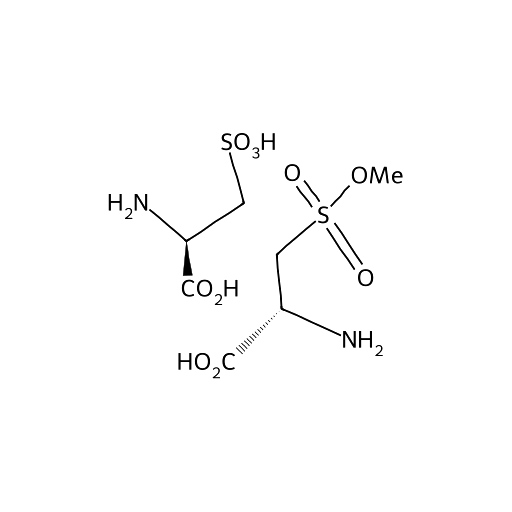 COS(=O)(=O)C[C@H](N)C(=O)O.N[C@@H](CS(=O)(=O)O)C(=O)O